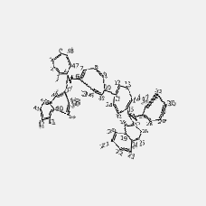 C1=CC=CC(N(C2=CC=CC(C3=CCC=C(N(C4=CC5C=CC=CC5CC4)c4ccccc4)C=C3)C=C2)c2ccc3ccccc3c2)C=C1